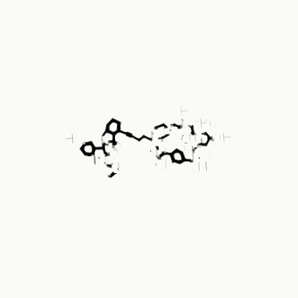 Cc1ncsc1-c1ccc(C(C)NC(=O)[C@@H]2C[C@@H](O)CN2C(=O)C(NC(=O)CN2CCN(CCCC#Cc3cccc4c3C(=O)N(C(C(=O)Nc3nccs3)c3cc(O)ccc3F)C4)CC2)C(C)(C)C)cc1